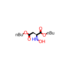 CCCCOC(=O)C[C@H](NO)C(=O)OCCCC